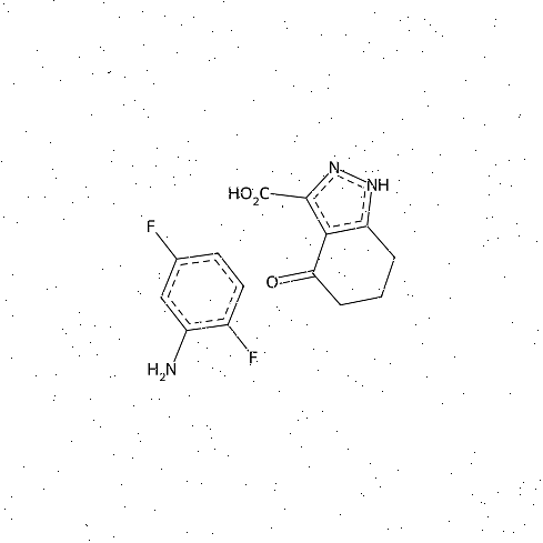 Nc1cc(F)ccc1F.O=C(O)c1n[nH]c2c1C(=O)CCC2